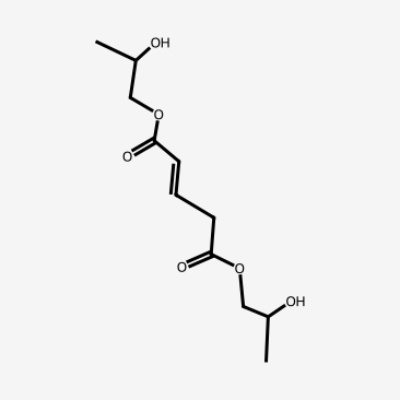 CC(O)COC(=O)/C=C/CC(=O)OCC(C)O